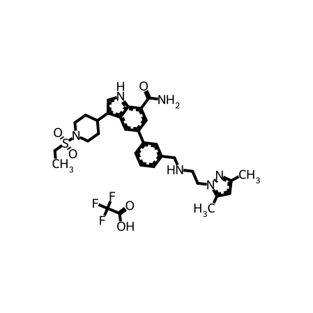 CCS(=O)(=O)N1CCC(c2c[nH]c3c(C(N)=O)cc(-c4cccc(CNCCn5nc(C)cc5C)c4)cc23)CC1.O=C(O)C(F)(F)F